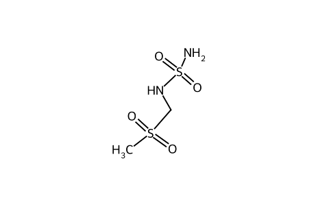 CS(=O)(=O)CNS(N)(=O)=O